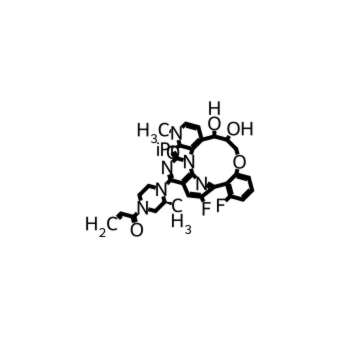 C=CC(=O)N1CCN(c2nc(=O)n3c4nc(c(F)cc24)-c2c(F)cccc2OCC(O)C(O)C2=C3C(C(C)C)N(C)C=C2)[C@@H](C)C1